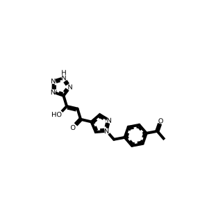 CC(=O)c1ccc(Cn2cc(C(=O)C=C(O)c3nn[nH]n3)cn2)cc1